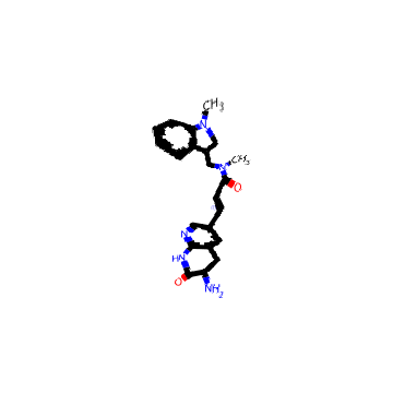 CN(CC1CN(C)c2ccccc21)C(=O)/C=C/c1cnc2c(c1)CC(N)C(=O)N2